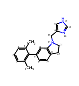 Cc1cccc(C)c1-c1ccc2c(c1)N(Cc1c[nH]cn1)CC2